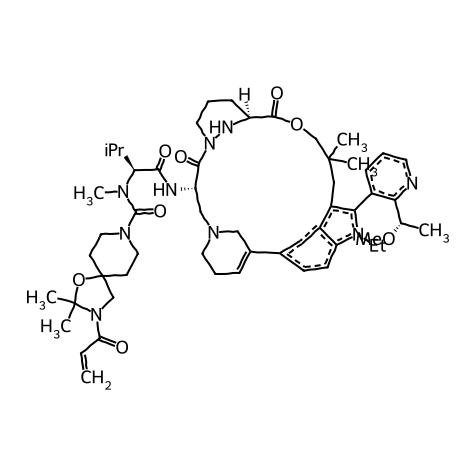 C=CC(=O)N1CC2(CCN(C(=O)N(C)[C@H](C(=O)N[C@H]3CN4CCC=C(C4)c4ccc5c(c4)c(c(-c4cccnc4[C@H](C)OC)n5CC)CC(C)(C)COC(=O)[C@@H]4CCCN(N4)C3=O)C(C)C)CC2)OC1(C)C